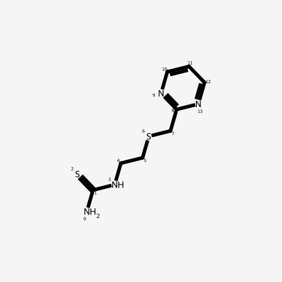 NC(=S)NCCSCc1ncccn1